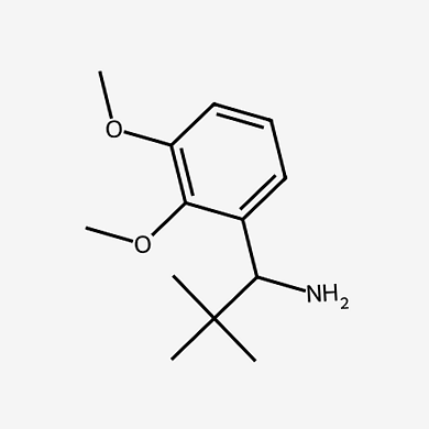 COc1cccc(C(N)C(C)(C)C)c1OC